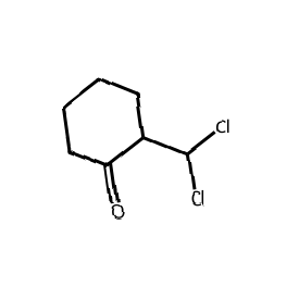 O=C1CCCCC1C(Cl)Cl